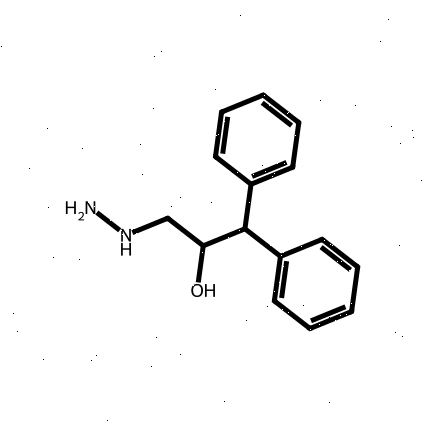 NNCC(O)C(c1ccccc1)c1ccccc1